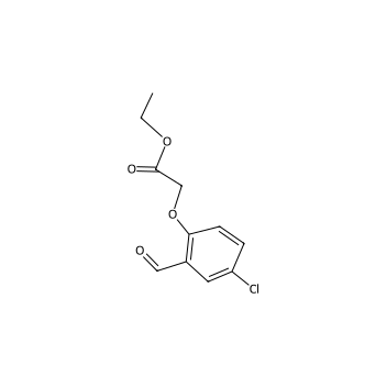 CCOC(=O)COc1ccc(Cl)cc1C=O